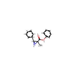 CC(C)C1(C(=O)Oc2ccccc2)N=C1c1ccccc1